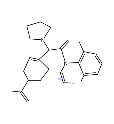 C=C(C)C1CC=C(C(C(=C)N(/C=C\C)c2c(C)cccc2C)N2CCCC2)CC1